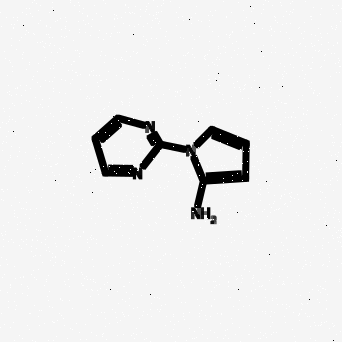 Nc1cccn1-c1ncccn1